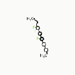 C=CC1CCC(C2CCC(c3ccc(-c4ccc(-c5ccc(C/C=C\CCC)c(F)c5F)cc4)c(F)c3)CC2)CC1